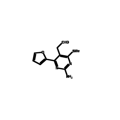 CSc1nc(N)nc(-c2ccco2)c1CC=O